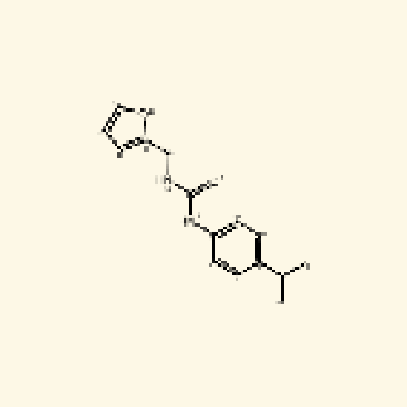 CC(C)c1ccc(NC(=O)NCc2ccco2)cc1